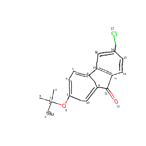 CC(C)(C)[Si](C)(C)Oc1ccc2c(c1)C(=O)c1ccc(Cl)cc1-2